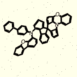 c1ccc(-c2ccc(N(c3cccc4c3-c3ccccc3C43c4ccccc4N4c5ccccc5Oc5cccc3c54)c3cccc4c3oc3ccccc34)cc2)cc1